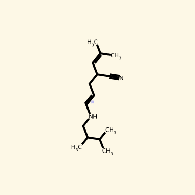 CC(C)=CC(C#N)C/C=C/NCC(C)C(C)C